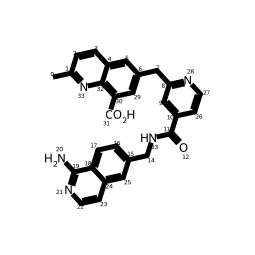 Cc1ccc2cc(Cc3cc(C(=O)NCc4ccc5c(N)nccc5c4)ccn3)cc(C(=O)O)c2n1